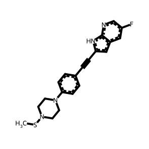 CSN1CCN(c2ccc(C#Cc3cc4cc(F)cnc4[nH]3)cc2)CC1